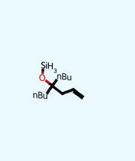 C=CCC(CCCC)(CCCC)O[SiH3]